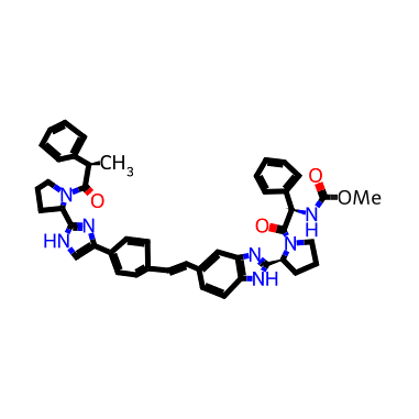 COC(=O)N[C@@H](C(=O)N1CCC[C@H]1c1nc2cc(/C=C/c3ccc(-c4c[nH]c(C5CCCN5C(=O)[C@H](C)c5ccccc5)n4)cc3)ccc2[nH]1)c1ccccc1